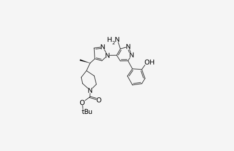 C[C@@H](c1cnn(-c2cc(-c3ccccc3O)nnc2N)c1)C1CCN(C(=O)OC(C)(C)C)CC1